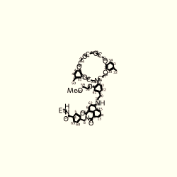 CCNC(=O)c1ccc(CN2C(=O)c3cccc4c(NCCc5ccc(N6CCOc7cc(C)ccc7OCCOCCOCCOc7ccc(C)cc7OCC6)c(OCCOC)c5)ccc(c34)C2=O)cc1